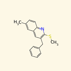 CSc1nc2ccc(C)cc2cc1Cc1ccccc1